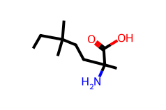 CCC(C)(C)CCC(C)(N)C(=O)O